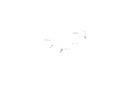 O=C(CCCN1C(=O)C=CC1=O)OC(=O)C(O)C(O)C(=O)O